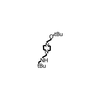 CC(C)(C)CNCCN1CCN(CCOC(C)(C)C)CC1